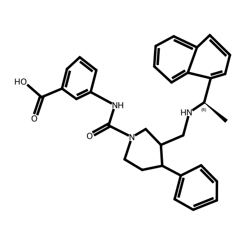 C[C@@H](NCC1CN(C(=O)Nc2cccc(C(=O)O)c2)CCC1c1ccccc1)c1cccc2ccccc12